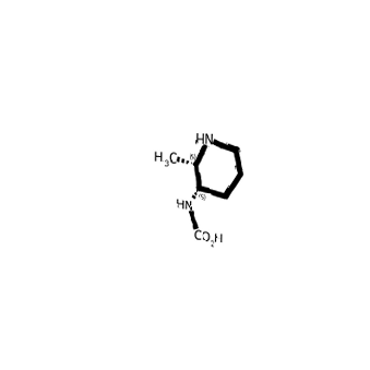 C[C@@H]1NCCC[C@@H]1NC(=O)O